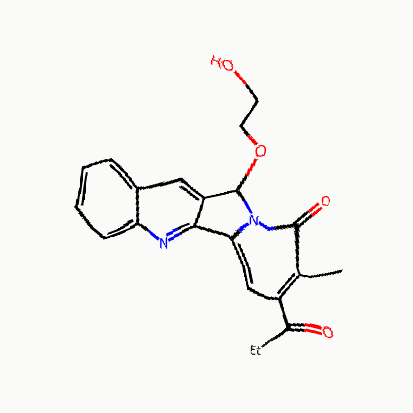 CCC(=O)c1cc2n(c(=O)c1C)C(OCCO)c1cc3ccccc3nc1-2